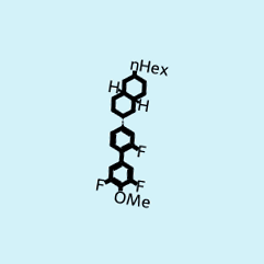 CCCCCCC1CC[C@@H]2C[C@H](c3ccc(-c4cc(F)c(OC)c(F)c4)c(F)c3)CC[C@@H]2C1